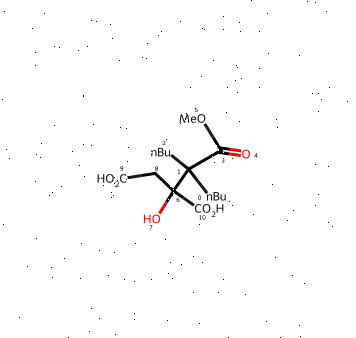 CCCCC(CCCC)(C(=O)OC)C(O)(CC(=O)O)C(=O)O